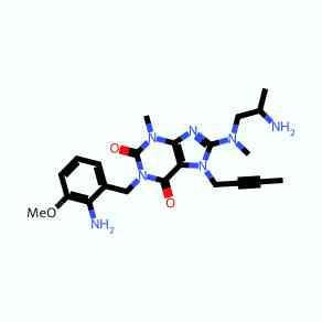 CC#CCn1c(N(C)CC(C)N)nc2c1c(=O)n(Cc1cccc(OC)c1N)c(=O)n2C